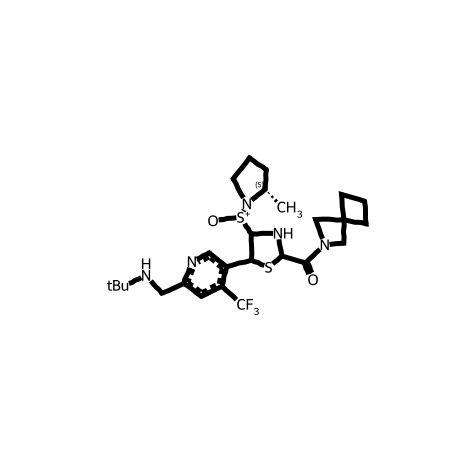 C[C@H]1CCCN1[S+]([O-])C1NC(C(=O)N2CC3(CCC3)C2)SC1c1cnc(CNC(C)(C)C)cc1C(F)(F)F